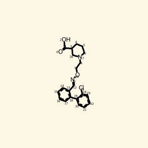 O=C(O)C1CCCN(CCON=Cc2ccccc2-c2ccccc2Cl)C1